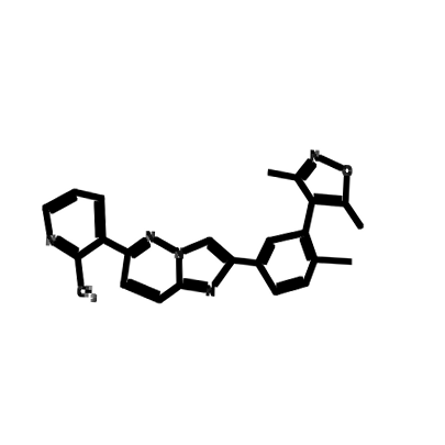 Cc1ccc(-c2cn3nc(-c4cccnc4C(F)(F)F)ccc3n2)cc1-c1c(C)noc1C